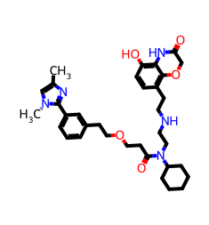 Cc1cn(C)c(-c2cccc(CCOCCC(=O)N(CCNCCc3ccc(O)c4c3OCC(=O)N4)C3CCCCC3)c2)n1